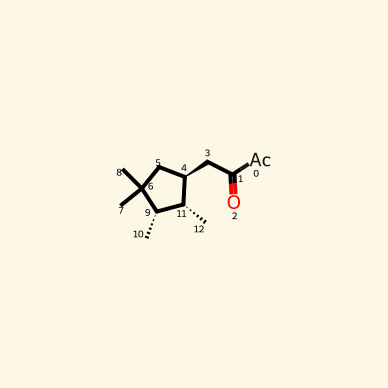 CC(=O)C(=O)C[C@@H]1CC(C)(C)[C@@H](C)[C@H]1C